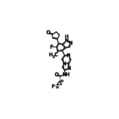 Cc1c(F)c(C2=CC(=O)CC2)c2[nH]ncc2c1-c1cn2cc(NC(=O)[C@@H]3C[C@@H]3F)nc2cn1